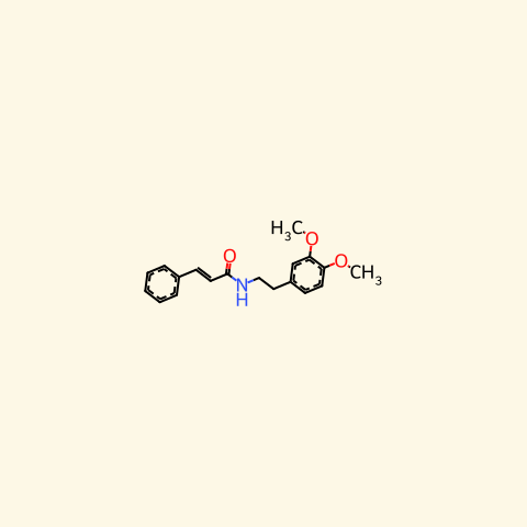 COc1ccc(CCNC(=O)C=Cc2ccccc2)cc1OC